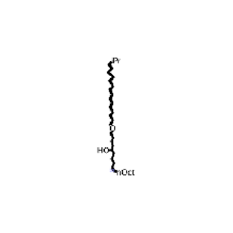 CCCCCCCC/C=C\CCCC(O)CCCCOCCCCCCCCCCCCCCCC(C)C